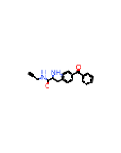 C#CCNC(=O)C(N)Cc1ccc(C(=O)c2ccccc2)cc1